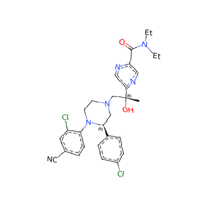 CCN(CC)C(=O)c1cnc([C@](C)(O)CN2CCN(c3ccc(C#N)cc3Cl)[C@H](c3ccc(Cl)cc3)C2)cn1